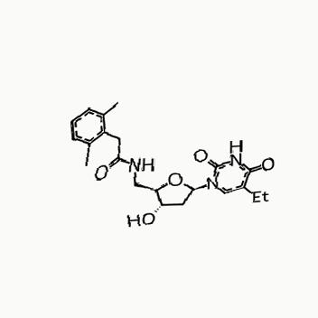 CCc1cn([C@H]2C[C@H](O)[C@@H](CNC(=O)Cc3c(C)cccc3C)O2)c(=O)[nH]c1=O